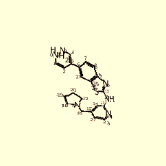 N/C=C\C(=C/N)c1ccc2nc(Nc3cc(CN4CCCC4)ccn3)sc2c1